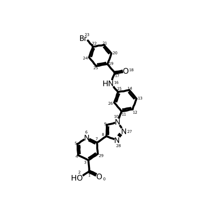 O=C(O)c1ccnc(-c2cn(-c3cccc(NC(=O)c4ccc(Br)cc4)c3)nn2)c1